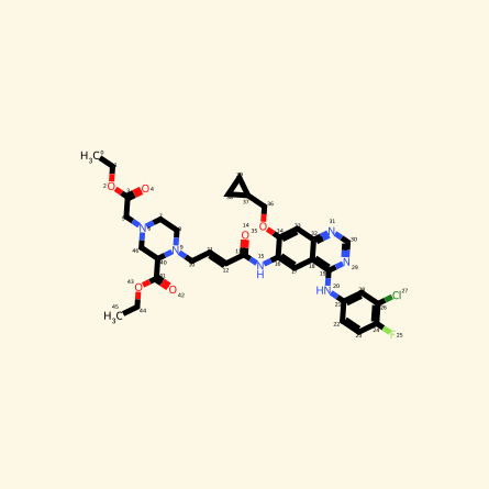 CCOC(=O)CN1CCN(CC=CC(=O)Nc2cc3c(Nc4ccc(F)c(Cl)c4)ncnc3cc2OCC2CC2)C(C(=O)OCC)C1